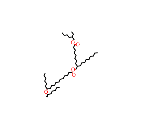 C=C(CCCCC)OC(CCCCCC)CCCCCCCCCCC(=O)OCC(CCCCCCCCC)CCCCCCCC(=O)OCC(CC)CCCC